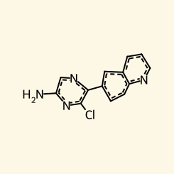 Nc1cnc(-c2ccc3ncccc3c2)c(Cl)n1